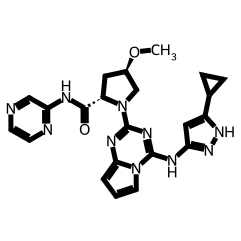 CO[C@@H]1C[C@@H](C(=O)Nc2cnccn2)N(c2nc(Nc3cc(C4CC4)[nH]n3)n3cccc3n2)C1